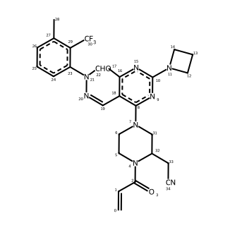 C=CC(=O)N1CCN(c2nc(N3CCC3)nc(C)c2/C=N\N(C=O)c2cccc(C)c2C(F)(F)F)CC1CC#N